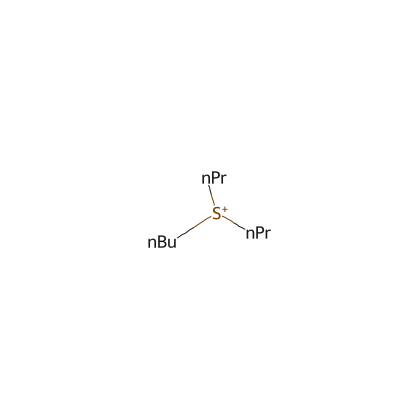 CCCC[S+](CCC)CCC